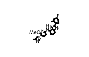 COc1nc(Nc2cccc3c2nc(-c2ccc(F)cc2C)n3C)ccc1-n1cnc(C)c1